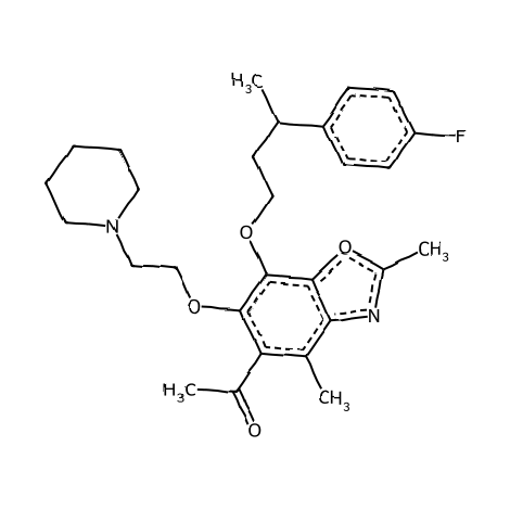 CC(=O)c1c(OCCN2CCCCC2)c(OCCC(C)c2ccc(F)cc2)c2oc(C)nc2c1C